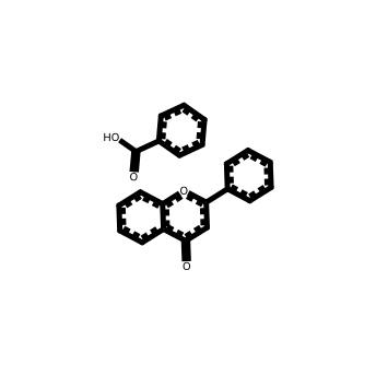 O=C(O)c1ccccc1.O=c1cc(-c2ccccc2)oc2ccccc12